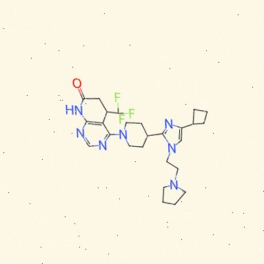 O=C1CC(C(F)(F)F)c2c(ncnc2N2CCC(c3nc(C4CCC4)cn3CCN3CCCC3)CC2)N1